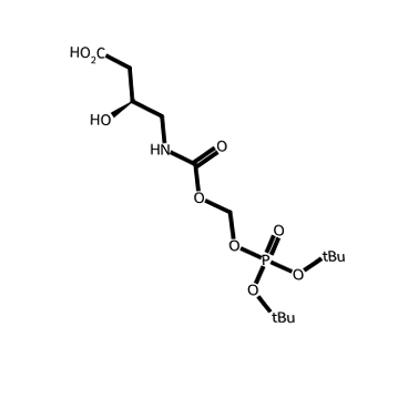 CC(C)(C)OP(=O)(OCOC(=O)NC[C@@H](O)CC(=O)O)OC(C)(C)C